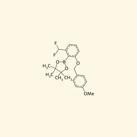 COc1ccc(COc2cccc(C(F)F)c2B2OC(C)(C)C(C)(C)O2)cc1